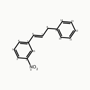 O=[N+]([O-])c1cccc(C=CCc2ccccc2)c1